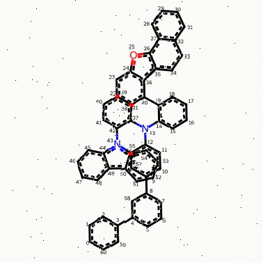 c1ccc(-c2cccc(-c3ccc(N(c4ccccc4-c4cccc5oc6c7ccccc7ccc6c45)c4ccccc4-n4c5ccccc5c5ccccc54)cc3)c2)cc1